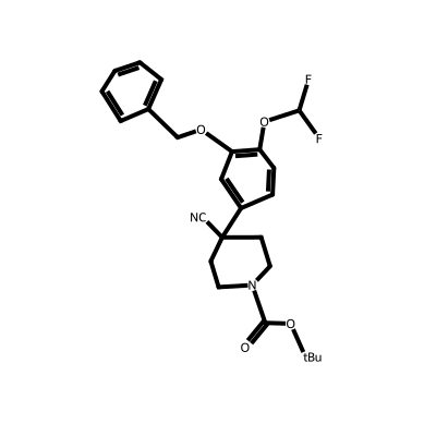 CC(C)(C)OC(=O)N1CCC(C#N)(c2ccc(OC(F)F)c(OCc3ccccc3)c2)CC1